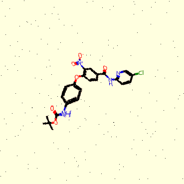 CC(C)(C)OC(=O)Nc1ccc(Oc2ccc(C(=O)Nc3ccc(Cl)cn3)cc2[N+](=O)[O-])cc1